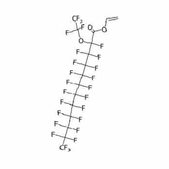 C=COC(=O)C(F)(OC(F)(F)C(F)(F)F)C(F)(F)C(F)(F)C(F)(F)C(F)(F)C(F)(F)C(F)(F)C(F)(F)C(F)(F)C(F)(F)C(F)(F)F